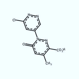 Cc1cc(=O)n(-c2cnnc(Cl)c2)nc1C(=O)O